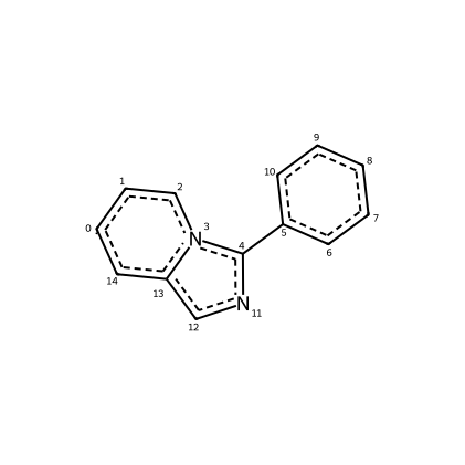 [c]1ccn2c(-c3ccccc3)ncc2c1